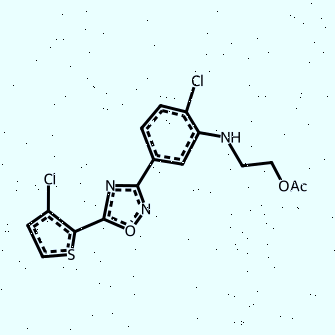 CC(=O)OCCNc1cc(-c2noc(-c3sccc3Cl)n2)ccc1Cl